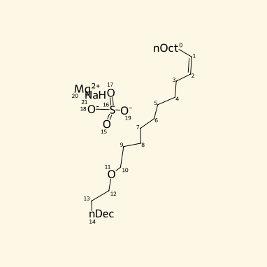 CCCCCCCC/C=C\CCCCCCCCOCCCCCCCCCCCC.O=S(=O)([O-])[O-].[Mg+2].[NaH]